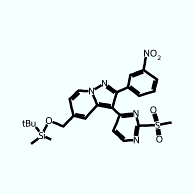 CC(C)(C)[Si](C)(C)OCc1ccn2nc(-c3cccc([N+](=O)[O-])c3)c(-c3ccnc(S(C)(=O)=O)n3)c2c1